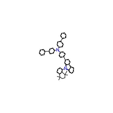 CC1(C)CCC(C)(C)c2c(-n3c4ccccc4c4ccc(-c5ccc(N(c6ccc(-c7ccccc7)cc6)c6ccc(-c7ccccc7)cc6)cc5)cc43)cccc21